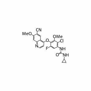 COc1cc2nccc(Oc3c(F)cc(NC(=O)NC4CC4)c(Cl)c3OC)c2cc1C#N